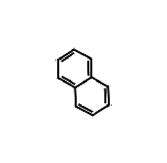 [c]1[c]cc2c[c]ccc2[c]1